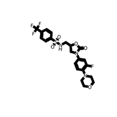 O=C1OC(CNS(=O)(=O)c2ccc(C(F)(F)F)cc2)CN1c1ccc(N2CCOCC2)c(F)c1